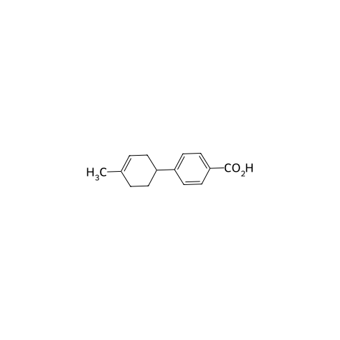 CC1=CCC(c2ccc(C(=O)O)cc2)CC1